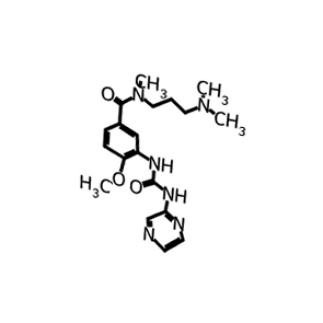 COc1ccc(C(=O)N(C)CCCN(C)C)cc1NC(=O)Nc1cnccn1